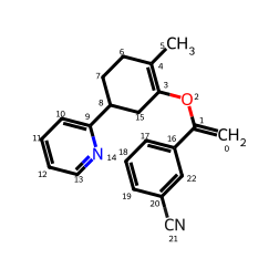 C=C(OC1=C(C)CCC(c2ccccn2)C1)c1cccc(C#N)c1